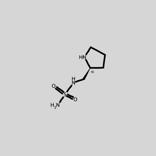 NS(=O)(=O)NC[C@@H]1CCCN1